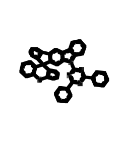 c1ccc(-c2nc(-c3ccccc3)nc(-n3c4ccccc4c4cc5c(cc43)C3(c4ccccc4Sc4ccccc43)c3ccccc3-5)n2)cc1